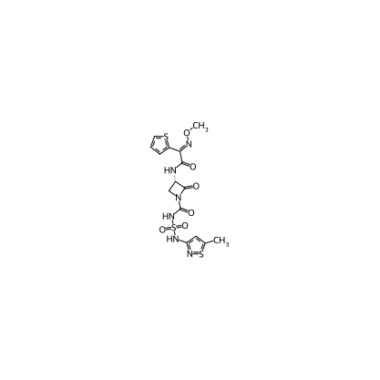 CO/N=C(/C(=O)N[C@H]1CN(C(=O)NS(=O)(=O)Nc2cc(C)sn2)C1=O)c1cccs1